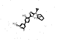 COc1cc(-c2ccc(-c3nnc(N(C4CC4)[C@@H]4CC5CCC(N5)[C@@H]4F)s3)c(O)c2)cc(F)n1